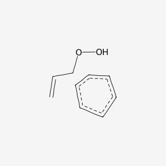 C=CCOO.c1ccccc1